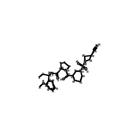 CCC(NC(=O)[C@H]1CCCN1C(=O)C1CCCN(S(=O)(=O)N2CC(C#N)C2)C1)c1ccccc1OC